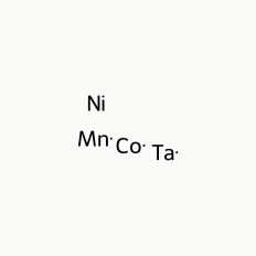 [Co].[Mn].[Ni].[Ta]